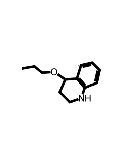 CCCOC1CCNc2ccc[c]c21